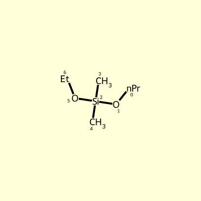 CCCO[Si](C)(C)OCC